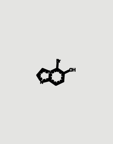 Oc1ccc2nccn2c1Br